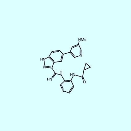 CNc1cncc(-c2ccc3[nH]nc(C(=N)Nc4cnccc4NC(=O)C4CC4)c3c2)c1